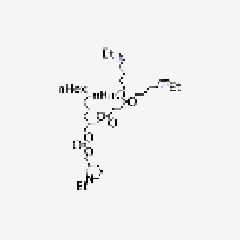 CC[CH]CCCC(CCCC)CCCC(COC(=O)CCC(OCCCC/C=C\CC)OCCCC/C=C\CC)COC(=O)OCC1CCCN(CC)C1